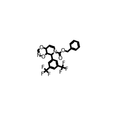 O=C(OCc1ccccc1)N1C=CC2OC=NOC2C1c1cc(C(F)(F)F)cc(C(F)(F)F)c1